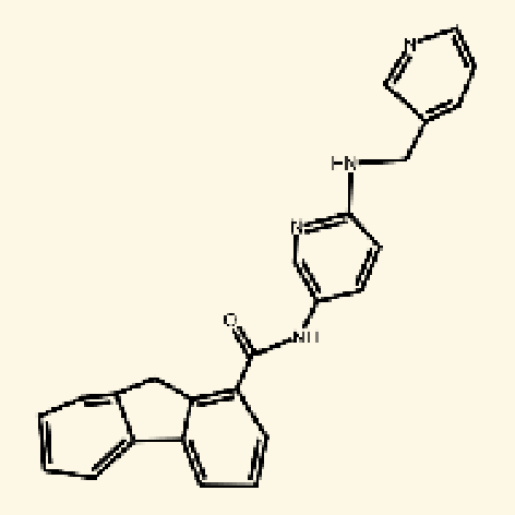 O=C(Nc1ccc(NCc2cccnc2)nc1)c1cccc2c1Cc1ccccc1-2